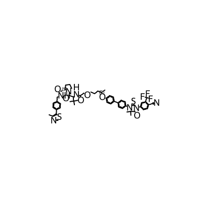 Cc1ncsc1-c1ccc(CNC(=O)[C@@H]2CCCN2C(=O)C(NC(=O)COCCC[C@@H](C)Oc2ccc(-c3ccc(N4C(=S)N(c5ccc(C#N)c(C(F)(F)F)c5)C(=O)C4(C)C)cc3)cc2)C(C)(C)C)cc1